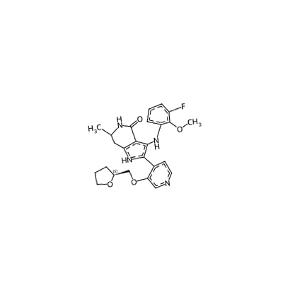 COc1c(F)cccc1Nc1c(-c2ccncc2OC[C@@H]2CCCO2)[nH]c2c1C(=O)NC(C)C2